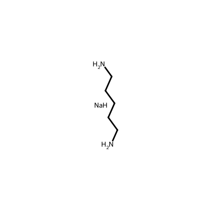 NCCCCCN.[NaH]